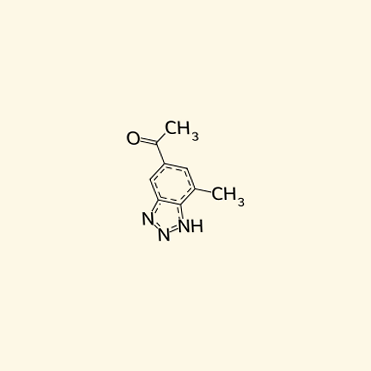 CC(=O)c1cc(C)c2[nH]nnc2c1